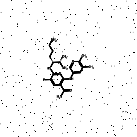 Cc1cc(Nc2nc(N[C@H](CCCN)[C@H](C)N)c(F)cc2C(N)=O)cnc1C